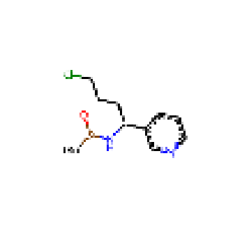 CC(C)(C)[S+]([O-])N[C@@H](CCCCl)c1cccnc1